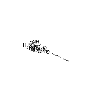 CCCCCCCCCCCCCCCCOCCC(=O)OC[C@H]1OC(n2cc(C(N)=O)c3c(N)nc(C)nc32)[C@H](O)[C@@H]1O